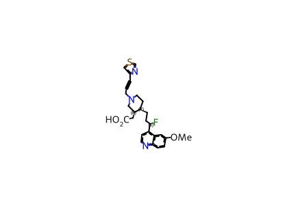 COc1ccc2nccc([C@H](F)CC[C@@H]3CCN(CC#Cc4cscn4)C[C@@H]3CC(=O)O)c2c1